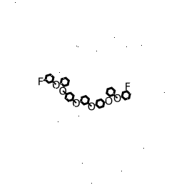 Fc1cccc(Oc2ccccc2Oc2ccc(Oc3cccc(Oc4ccc(Oc5ccccc5Oc5cccc(F)c5)cc4)c3)cc2)c1